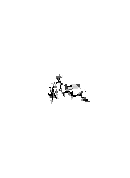 C=CCC[C@@H](N)C[C@H](CC(C)(C)I)[C@H]1COC(C)(C)O1